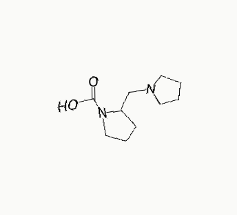 O=C(O)N1CCCC1CN1CCCC1